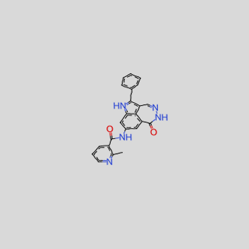 Cc1ncccc1C(=O)Nc1cc2c3c(c(-c4ccccc4)[nH]c3c1)C=NNC2=O